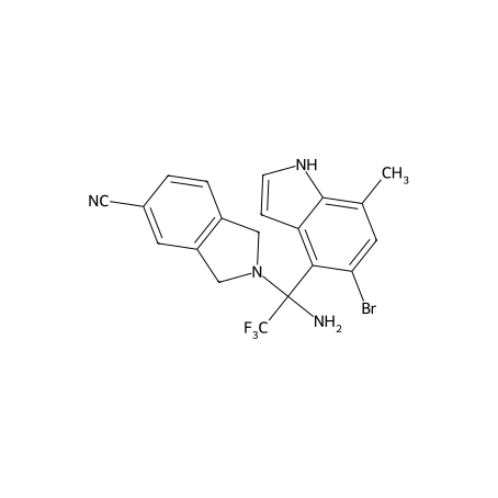 Cc1cc(Br)c(C(N)(N2Cc3ccc(C#N)cc3C2)C(F)(F)F)c2cc[nH]c12